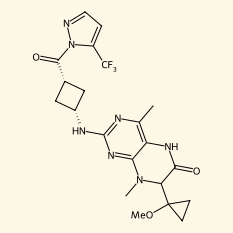 COC1(C2C(=O)Nc3c(C)nc(N[C@H]4C[C@@H](C(=O)n5nccc5C(F)(F)F)C4)nc3N2C)CC1